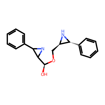 O[C@@H]1OC([C@H]2N[C@@H]2c2ccccc2)[N@]2C(c3ccccc3)C12